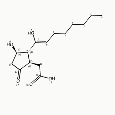 CCCCCCC=C(O)[C@H]1[C@H](O)CC(=O)[C@@H]1CC(=O)O